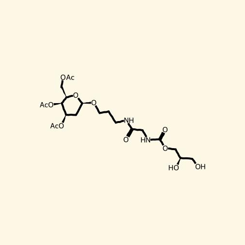 CC(=O)OC[C@H]1O[C@@H](OCCCNC(=O)CNC(=O)OC[C@H](O)CO)C[C@@H](OC(C)=O)[C@H]1OC(C)=O